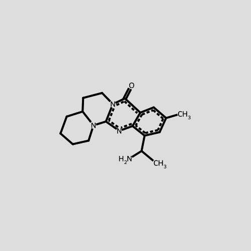 Cc1cc(C(C)N)c2nc3n(c(=O)c2c1)CCC1CCCCN31